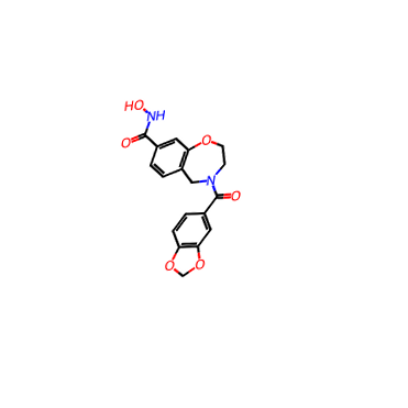 O=C(NO)c1ccc2c(c1)OCCN(C(=O)c1ccc3c(c1)OCO3)C2